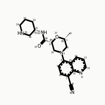 C[C@@H]1CN(c2ccc(C#N)c3ncccc23)C[C@H](C(=O)N[C@H]2CCCNC2)O1